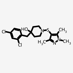 Cc1nn(C)c(C)c1SN1CCC(O)(Cc2ccc(Cl)cc2Cl)CC1